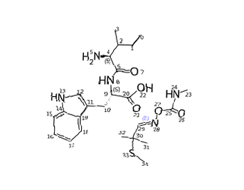 CCC(C)[C@H](N)C(=O)N[C@@H](Cc1c[nH]c2ccccc12)C(=O)O.CNC(=O)O/N=C/C(C)(C)SC